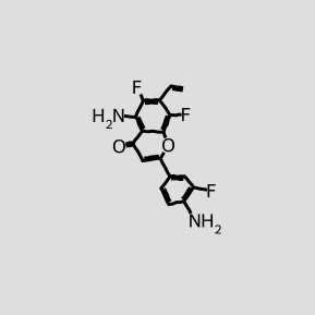 C=Cc1c(F)c(N)c2c(=O)cc(-c3ccc(N)c(F)c3)oc2c1F